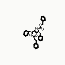 O=C(N[C@@H](/C=C/[C@@H](Cc1ccccc1)NC(=O)OCc1ccccc1)Cc1ccccc1)OCc1ccccc1